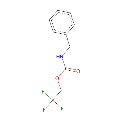 O=C(NCc1ccccc1)OCC(F)(F)F